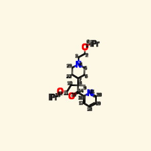 CC(C)OCCN1CCC(C(C)(CCOC(C)C)C(=O)c2ccccn2)CC1